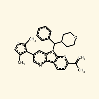 C=C(C)c1ccc2c3ncc(-c4c(C)noc4C)cc3n(C(c3ccccc3)C3CCOCC3)c2n1